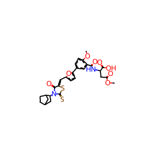 COC(=O)CC(NC(=O)c1cc(-c2ccc(C=C3SC(=S)N(C4CC5CCC4C5)C3=O)o2)ccc1OC)C(=O)O